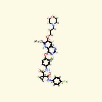 COc1nc2c(Oc3ccc(NC(=O)C4(C(=O)Nc5ccc(F)cc5)CC4)cc3Cl)ncnc2cc1OCCCN1CCOCC1